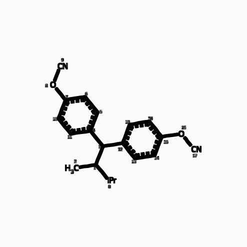 CC(C)C(C)C(c1ccc(OC#N)cc1)c1ccc(OC#N)cc1